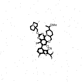 COC(C)C1CCC2COc3c(Cl)c(-c4ccc(F)c5sc(C(F)F)c(C#N)c45)c(F)c4nc(OCC56CCCN5C[C@H](C)C6)nc(c34)N2C1